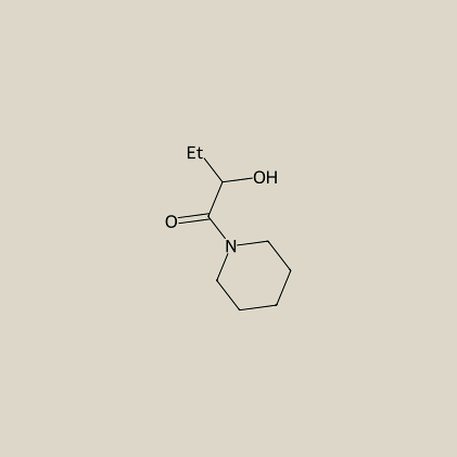 CCC(O)C(=O)N1CCCCC1